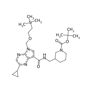 CC(C)(C)OC(=O)N1CCCC(CNC(=O)c2cn(COCC[Si](C)(C)C)c3ncc(C4CC4)nc23)C1